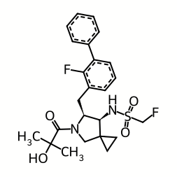 CC(C)(O)C(=O)N1CC2(CC2)[C@H](NS(=O)(=O)CF)[C@@H]1Cc1cccc(-c2ccccc2)c1F